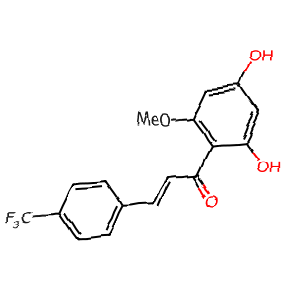 COc1cc(O)cc(O)c1C(=O)C=Cc1ccc(C(F)(F)F)cc1